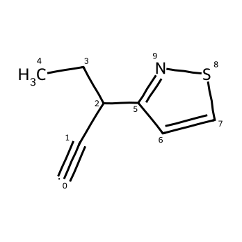 [C]#CC(CC)c1ccsn1